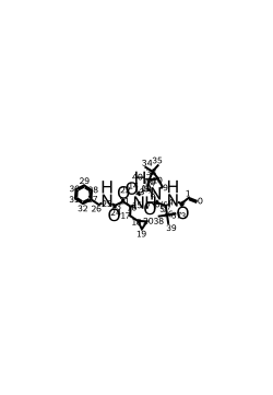 C=CC(=O)N[C@H](C(=O)N1CC2[C@@H]([C@H]1C(=O)NC(CC1CC1)C(=O)C(=O)NCc1ccccc1)C2(C)C)C(C)(C)C